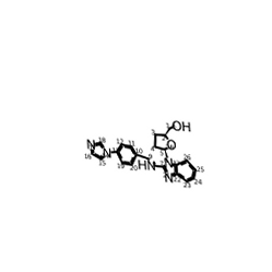 OC[C@@H]1CC[C@H](n2c(NCc3ccc(-n4ccnc4)cc3)nc3ccccc32)O1